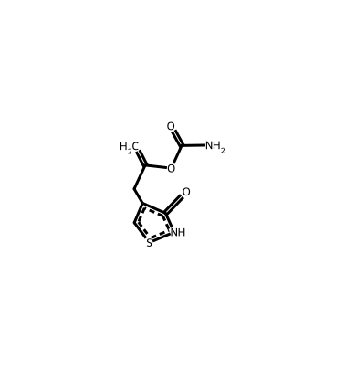 C=C(Cc1cs[nH]c1=O)OC(N)=O